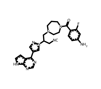 [C-]#[N+]CC(CN1CCCN(C(=O)c2ccc(N)cc2F)CC1)n1cc(-c2ncnc3[nH]ccc23)cn1